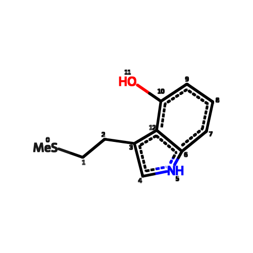 CSCCc1c[nH]c2cccc(O)c12